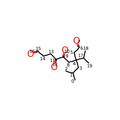 CC(C)CC(CC=O)(CC(=O)C(=O)CCC=O)C(C)C